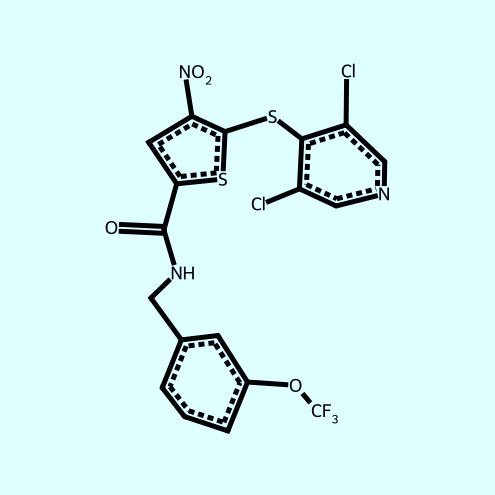 O=C(NCc1cccc(OC(F)(F)F)c1)c1cc([N+](=O)[O-])c(Sc2c(Cl)cncc2Cl)s1